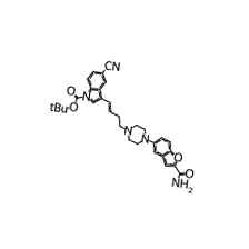 CC(C)(C)OC(=O)n1cc(/C=C/CCN2CCN(c3ccc4oc(C(N)=O)cc4c3)CC2)c2cc(C#N)ccc21